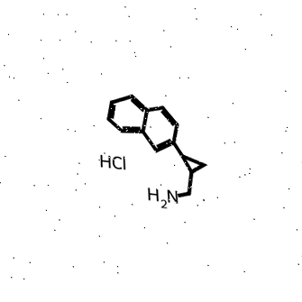 Cl.NCC1CC1c1ccc2ccccc2c1